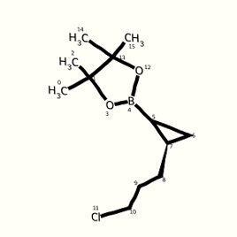 CC1(C)OB(C2C[C@H]2CCCCl)OC1(C)C